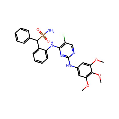 COc1cc(Nc2ncc(F)c(Nc3ccccc3C(c3ccccc3)S(N)(=O)=O)n2)cc(OC)c1OC